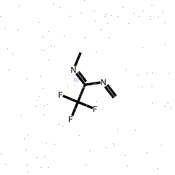 C=N/C(=N\C)C(F)(F)F